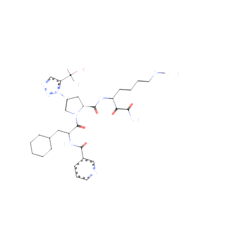 CC(C)(O)c1cnnn1[C@H]1C[C@@H](C(=O)NC(CCCCNC(=O)O)C(=O)C(N)=O)N(C(=O)C(CC2CCCCC2)NC(=O)c2cccnc2)C1